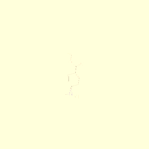 C[N+](Cl)=C1C=CC(C(=O)OC=S)=CC1